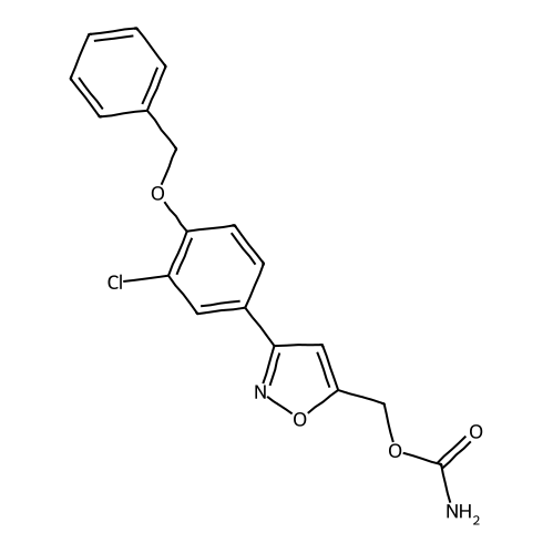 NC(=O)OCc1cc(-c2ccc(OCc3ccccc3)c(Cl)c2)no1